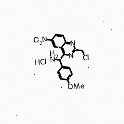 COc1ccc(C(N)c2nc(CCl)nc3ccc([N+](=O)[O-])cc23)cc1.Cl